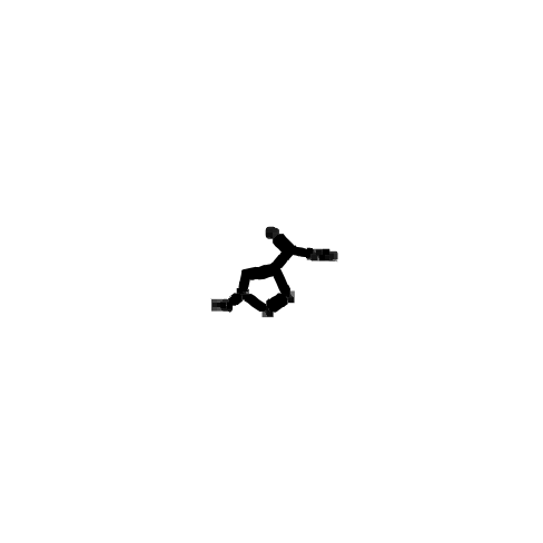 CNC(=O)c1cn(O)nn1